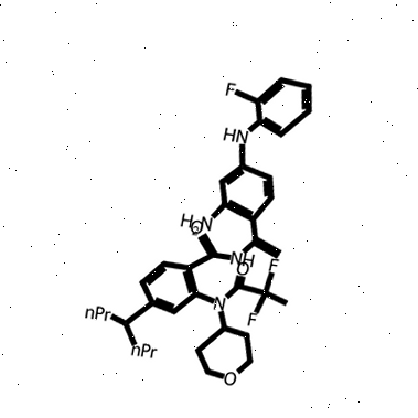 C=C(NC(=O)c1ccc(C(CCC)CCC)cc1N(C(=O)C(C)(F)F)C1CCOCC1)c1ccc(Nc2ccccc2F)cc1N